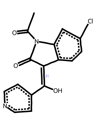 CC(=O)N1C(=O)/C(=C(/O)c2ccncc2)c2ccc(Cl)cc21